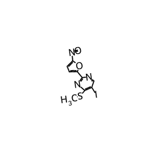 CSc1nc(-c2ccc(N=O)o2)ncc1I